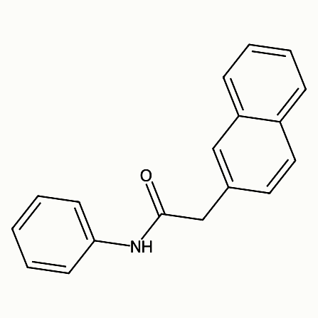 O=C(Cc1ccc2ccccc2c1)Nc1ccccc1